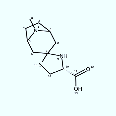 CN1C2CCC1CC1(C2)N[C@H](C(=O)O)CS1